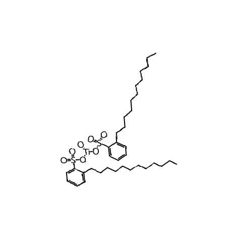 CCCCCCCCCCCCc1ccccc1S(=O)(=O)[O][Ti](=[O])[O]S(=O)(=O)c1ccccc1CCCCCCCCCCCC